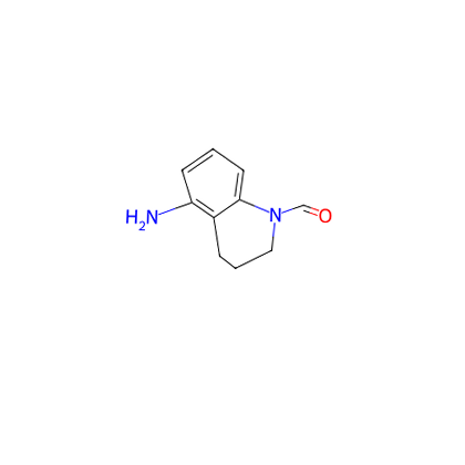 Nc1cccc2c1CCCN2C=O